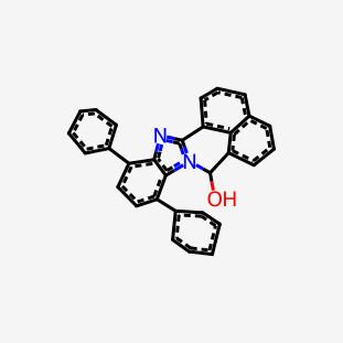 OC1c2cccc3cccc(c23)-c2nc3c(-c4ccccc4)ccc(-c4ccccc4)c3n21